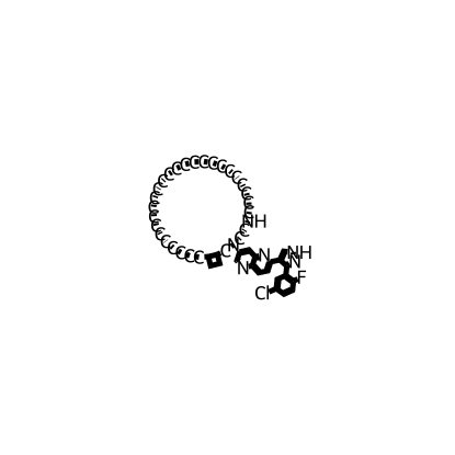 Fc1ccc(Cl)cc1-c1n[nH]cc1-c1ccc2ncc(N3CCNCCCCCCCCCCCCCCCCCCCCCCCCCC4CCC4C3)cc2n1